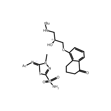 CC(=O)/N=c1\sc(S(N)(=O)=O)nn1C.CC(C)(C)NC[C@H](O)COc1cccc2c1CCCC2=O